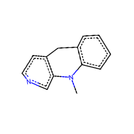 CN1c2ccccc2Cc2ccncc21